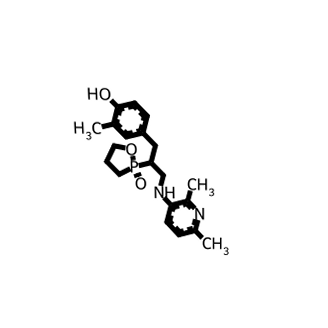 Cc1ccc(NCC(Cc2ccc(O)c(C)c2)P2(=O)CCCO2)c(C)n1